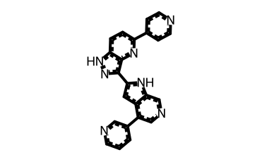 c1cncc(-c2cncc3[nH]c(-c4n[nH]c5ccc(-c6ccncc6)nc45)cc23)c1